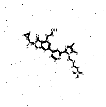 Cc1nc(-c2cc(-c3cc(CCO)c4c(c3)CN([C@@H](C)C3CC3)C4=O)ccn2)n(COCC[Si](C)(C)C)c1C